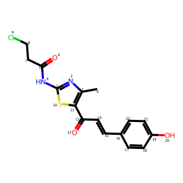 Cc1nc(NC(=O)CCCl)sc1C(=O)C=Cc1ccc(O)cc1